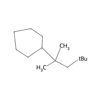 CC(C)(C)CC(C)(C)[C]1CCCCC1